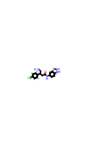 NCC(CC(=O)Nc1ccc2c(c1)SNN2)c1ccc(Cl)cc1